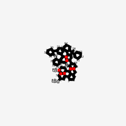 CC(C)(C)c1cc(-c2cccc3cccc(-c4ccccc4N(c4ccc(-c5cccc6c7ccccc7n(-c7ccccc7)c56)cc4)c4ccccc4-c4ccc5c(c4)C(C)(c4ccccc4)c4ccccc4-5)c23)cc(C(C)(C)C)c1